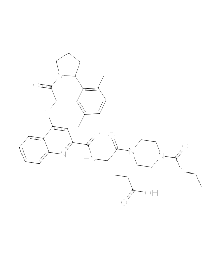 CCOC(=O)N1CCN(C(=O)[C@H](CCC(=O)O)NC(=O)c2cc(OCC(=O)N3CCCC3c3cc(C)ccc3C)c3ccccc3n2)CC1